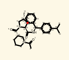 CC(=O)N1CCC[C@H](C(=O)N2C[C@H](F)C[C@H]2C(=O)N[C@@H](c2ccccc2)c2ccc(C(C)C)cc2)C1